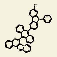 N#Cc1ccc2c3cc(-c4c5ccccc5c(-c5nc6ccccc6c6nc7ccccn7c56)c5ccccc45)ccc3n(-c3ccccc3)c2c1